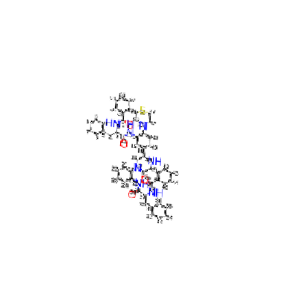 O=C(NC(Cc1ccccc1)C(=O)Nc1cc(C2CN(c3ccccc3NC(=O)C(Cc3ccccc3)NC(=O)c3ccccc3)CCN2)ccc1N1CCSCC1)c1ccccc1